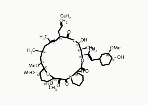 C=CC[C@@H]1/C=C(\C)C[C@H](C)C[C@H](OC)[C@H]2O[C@@](O)(C(=O)C(=O)N3CCCC[C@H]3C(=O)O[C@H](/C(C)=C/C3CC[C@@H](O)[C@H](OC)C3)[C@H](C)[C@@H](O)CC1=O)[C@H](C)C[C@@H]2OC.[CaH2]